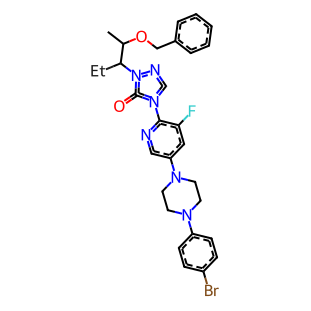 CCC(C(C)OCc1ccccc1)n1ncn(-c2ncc(N3CCN(c4ccc(Br)cc4)CC3)cc2F)c1=O